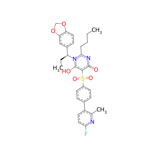 CCCCc1nc(=O)c(S(=O)(=O)c2ccc(-c3ccc(F)nc3C)cc2)c(O)n1[C@@H](CC)c1ccc2c(c1)OCO2